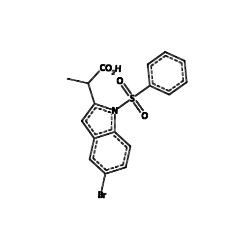 CC(C(=O)O)c1cc2cc(Br)ccc2n1S(=O)(=O)c1ccccc1